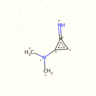 CN(C)c1cc1=N